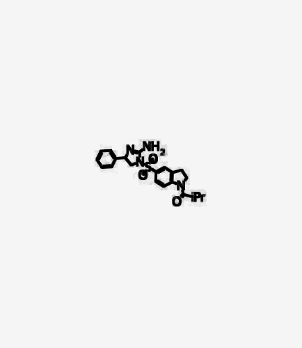 CC(C)C(=O)N1CCc2cc(S(=O)(=O)N3CC(c4ccccc4)N=C3N)ccc21